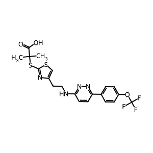 CC(C)(Sc1nc(CCNc2ccc(-c3ccc(OC(F)(F)F)cc3)nn2)cs1)C(=O)O